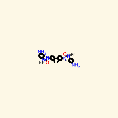 CCCN(C(=O)N(C)c1ccc(-c2ccc(N(C)C(=O)N(CC)c3ccc(N)cc3)cc2C)c(C)c1)c1ccc(N)cc1